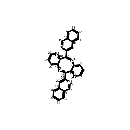 c1cnc2c(c1)/N=C(/c1cc3ccccc3cn1)c1ncccc1/N=C\2c1cc2ccccc2cn1